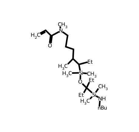 C=CC(=O)N(C)CCCC(C)C(CC)[Si](C)(C)OC(CC)(CC)[Si](C)(C)NCCCC